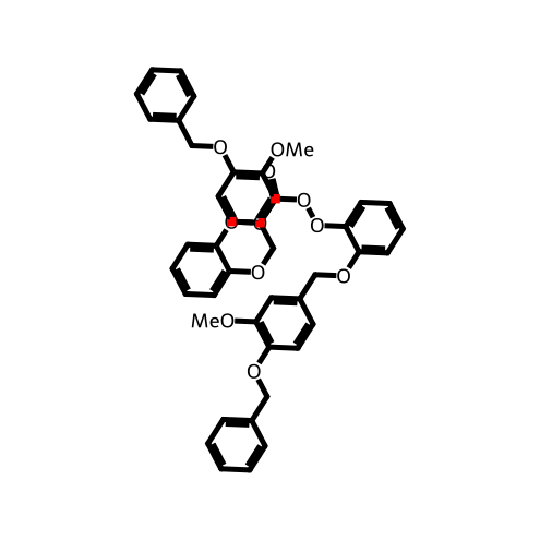 COc1cc(COc2ccccc2OOC(=O)OOc2ccccc2OCc2ccc(OCc3ccccc3)c(OC)c2)ccc1OCc1ccccc1